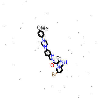 CCC1=C(C(=O)NCc2ccc(N3CCN(c4ccc(OC)cc4)CC3)cc2)N2C=C(Br)C=CC2=CN1